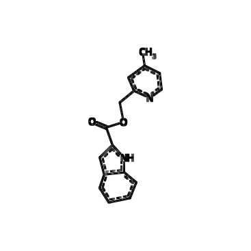 Cc1ccnc(COC(=O)c2cc3ccccc3[nH]2)c1